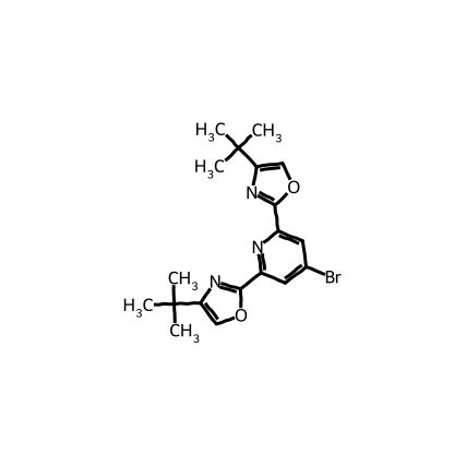 CC(C)(C)c1coc(-c2cc(Br)cc(-c3nc(C(C)(C)C)co3)n2)n1